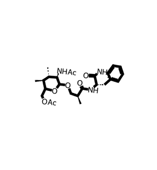 CC(=O)N[C@@H]1C(OC[C@H](C)C(=O)N[C@@H](Cc2ccccc2)C(N)=O)OC(COC(C)=O)[C@@H](C)[C@@H]1C